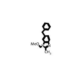 COCn1c(C)nc2ccc(Cc3ccccc3)cc21